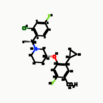 C[C@H](c1ccc(F)cc1Cl)N1CCC[C@@H](Oc2cc(F)c(C(=O)O)cc2C2CC2)C1